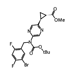 COC(=O)[C@H]1C[C@@H]1c1cnc(N(Cc2cc(Br)c(F)cc2F)C(=O)OC(C)(C)C)cn1